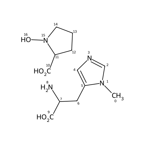 Cn1cncc1CC(N)C(=O)O.O=C(O)C1CCCN1O